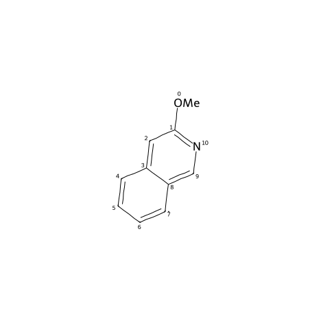 COc1cc2ccc[c]c2cn1